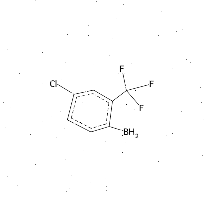 Bc1ccc(Cl)cc1C(F)(F)F